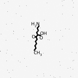 CCCCCCCC(=O)C(CCCCN)C(=O)O